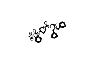 C[C@@H](COC(=O)N1CCC(n2c(=O)n(S(C)(=O)=O)c3ccccc32)CC1)N(Cc1ccccc1)Cc1ccccc1